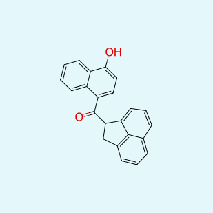 O=C(c1ccc(O)c2ccccc12)C1Cc2cccc3cccc1c23